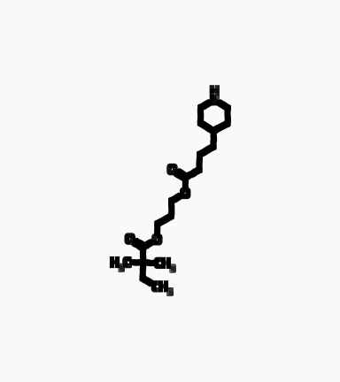 CCC(C)(C)C(=O)OCCCOC(=O)CCCC1CCNCC1